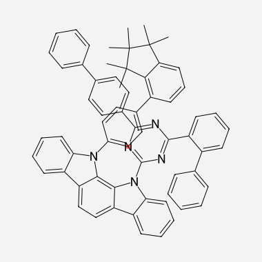 CC1(C)c2cccc(-c3ccc(-n4c5ccccc5c5ccc6c7ccccc7n(-c7nc(-c8ccc(-c9ccccc9)cc8)nc(-c8ccccc8-c8ccccc8)n7)c6c54)cc3)c2C(C)(C)C1(C)C